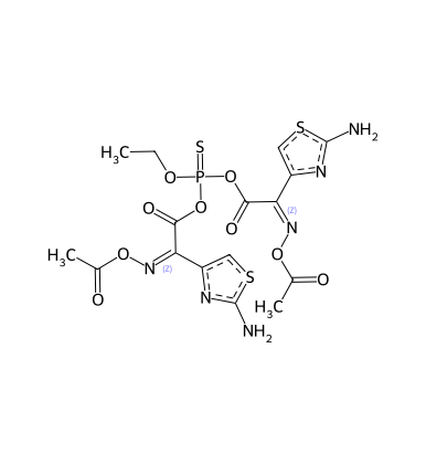 CCOP(=S)(OC(=O)/C(=N\OC(C)=O)c1csc(N)n1)OC(=O)/C(=N\OC(C)=O)c1csc(N)n1